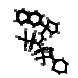 O=C(N1CCCCC1)C(F)(F)S(=O)(=O)N(CCC1(c2ccc3ccccc3c2)OCCO1)S(=O)(=O)C(F)(F)F